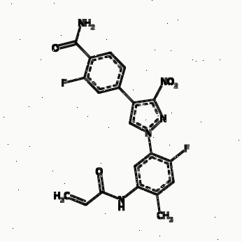 C=CC(=O)Nc1cc(-n2cc(-c3ccc(C(N)=O)c(F)c3)c([N+](=O)[O-])n2)c(F)cc1C